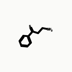 NCCC(=S)c1ccccc1